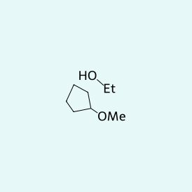 CCO.COC1CCCC1